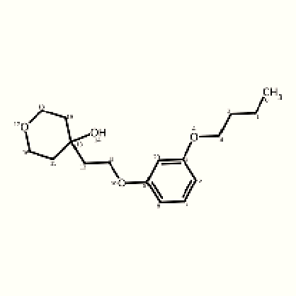 CCCCOc1cccc(OCCC2(O)CCOCC2)c1